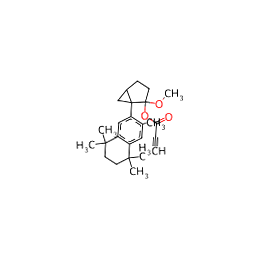 C#CC(=O)OC1(OC)CCC2CC21c1cc2c(cc1C)C(C)(C)CCC2(C)C